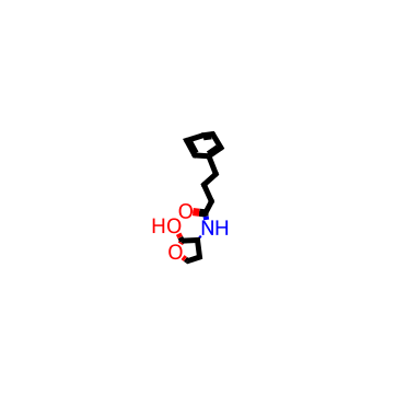 O=C(CCCc1ccccc1)N[C@@H]1CCOC1O